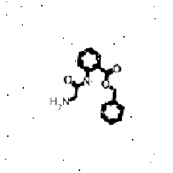 NCC(=O)[N]c1ccccc1C(=O)OCc1ccccc1